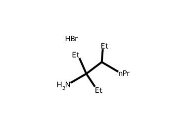 Br.CCCC(CC)C(N)(CC)CC